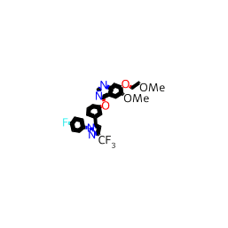 COCCOc1cc2ncnc(Oc3cccc(-c4cc(C(F)(F)F)nn4-c4ccc(F)cc4)c3)c2cc1OC